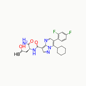 B=C(O)C[C@H](NC(=O)c1cnn2c(C3CCCCC3)c(-c3ccc(F)cc3F)cnc12)C(N)=O